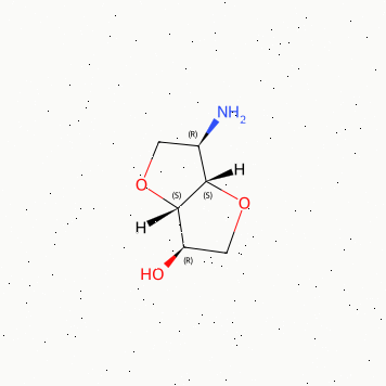 N[C@@H]1CO[C@@H]2[C@H]1OC[C@H]2O